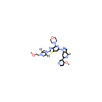 COCCN1C[C@H]2C[C@@H]1CN2c1nc2c(N3CCOCC3)nc(-n3ncc4c(C)nc(-c5cnccc5OC)cc43)cc2s1